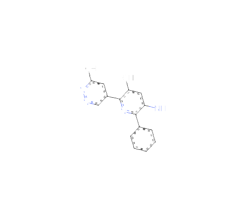 Cc1cc(-c2nc(-c3ccccc3)c(N)cc2C)cnn1